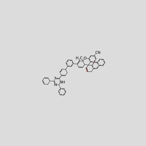 CC12C=C(c3cccc(C4C=CC(C5=NC(C6C=CC=CC6)=NC(c6ccccc6)N5)=CC4)c3)C=CC1C1(c3ccccc3Cc3cc4ccccc4cc31)c1ccc(C#N)cc1O2